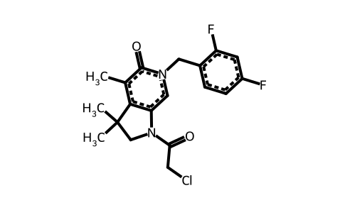 Cc1c2c(cn(Cc3ccc(F)cc3F)c1=O)N(C(=O)CCl)CC2(C)C